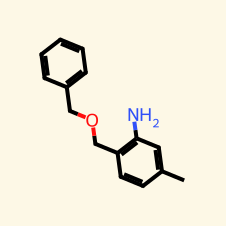 Cc1ccc(COCc2ccccc2)c(N)c1